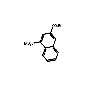 CCOC(=O)c1cc(C(=O)OCC)c2ccccc2c1